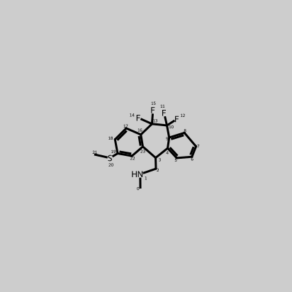 CNCC1c2ccccc2C(F)(F)C(F)(F)c2ccc(SC)cc21